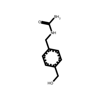 BC(=O)NCc1ccc(CO)cc1